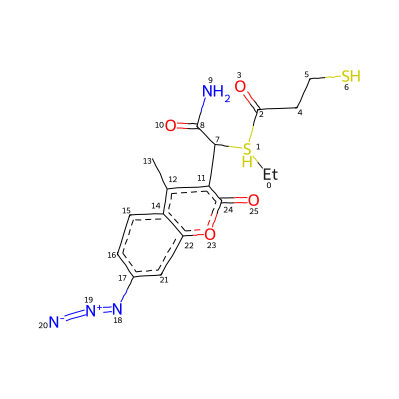 CC[SH](C(=O)CCS)C(C(N)=O)c1c(C)c2ccc(N=[N+]=[N-])cc2oc1=O